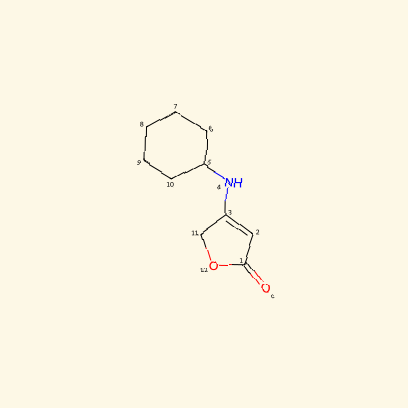 O=C1C=C(NC2CCCCC2)CO1